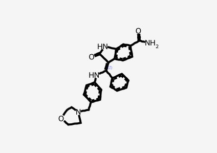 NC(=O)c1ccc2c(c1)NC(=O)/C2=C(\Nc1ccc(CN2CCOCC2)cc1)c1ccccc1